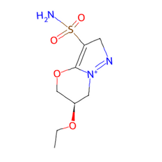 CCO[C@H]1COC2=C(S(N)(=O)=O)CN=[N+]2C1